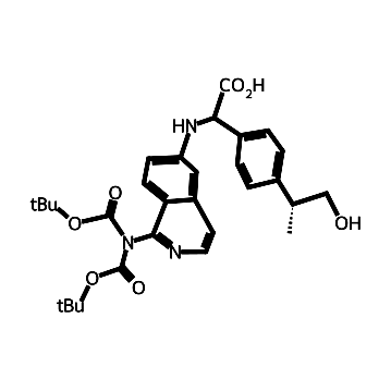 C[C@@H](CO)c1ccc(C(Nc2ccc3c(N(C(=O)OC(C)(C)C)C(=O)OC(C)(C)C)nccc3c2)C(=O)O)cc1